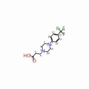 O=C(O)CCN1CCN(c2ccc(C(F)(F)F)cc2)CC1